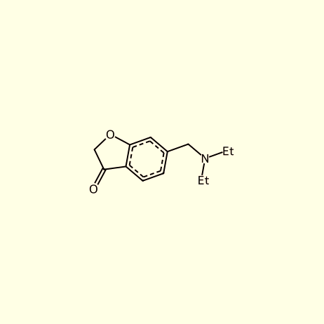 CCN(CC)Cc1ccc2c(c1)OCC2=O